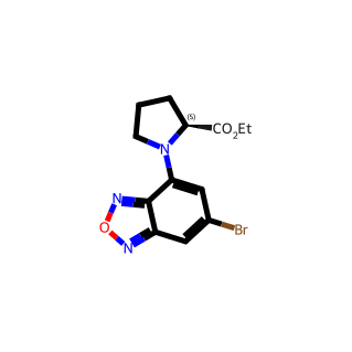 CCOC(=O)[C@@H]1CCCN1c1cc(Br)cc2nonc12